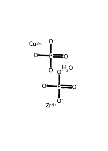 O.O=P([O-])([O-])[O-].O=P([O-])([O-])[O-].[Cu+2].[Zr+4]